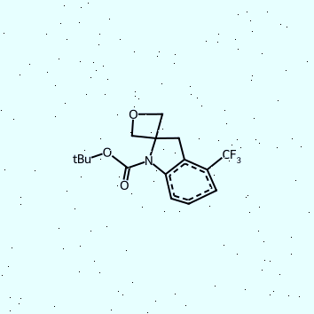 CC(C)(C)OC(=O)N1c2cccc(C(F)(F)F)c2CC12COC2